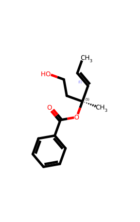 C/C=C/[C@](C)(CCO)OC(=O)c1ccccc1